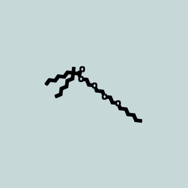 CCCCCCOCCOCCOCCOC(=O)C(C)(CCCCCC)CCCCCC